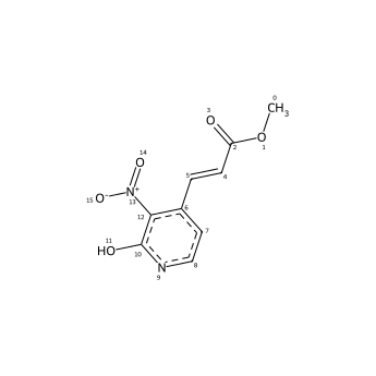 COC(=O)C=Cc1ccnc(O)c1[N+](=O)[O-]